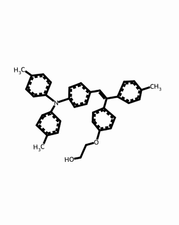 Cc1ccc(C(=Cc2ccc(N(c3ccc(C)cc3)c3ccc(C)cc3)cc2)c2ccc(OCCO)cc2)cc1